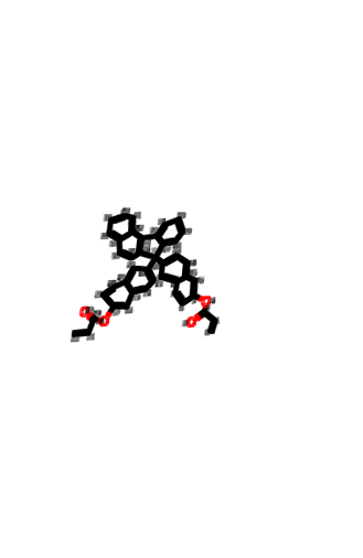 C=CC(=O)Oc1ccc2cc(C3(c4ccc5cc(OC(=O)C=C)ccc5c4)c4ccccc4-c4c3ccc3ccccc43)ccc2c1